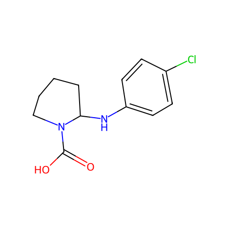 O=C(O)N1CCCCC1Nc1ccc(Cl)cc1